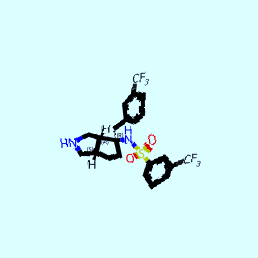 O=S(=O)(N[C@@]1(Cc2cccc(C(F)(F)F)c2)CC[C@@H]2CNC[C@@H]21)c1cccc(C(F)(F)F)c1